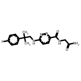 CC(C)(CNc1ccc(C(=O)NCC(N)=O)nn1)c1ccc(F)cc1